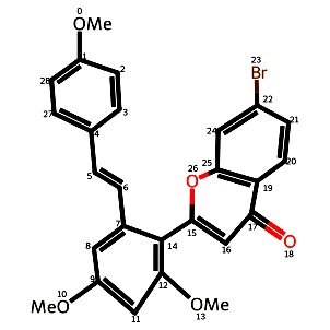 COc1ccc(C=Cc2cc(OC)cc(OC)c2-c2cc(=O)c3ccc(Br)cc3o2)cc1